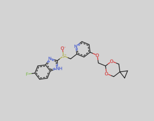 [O-][S+](Cc1cc(OCC2OCC3(CC3)CO2)ccn1)c1nc2cc(F)ccc2[nH]1